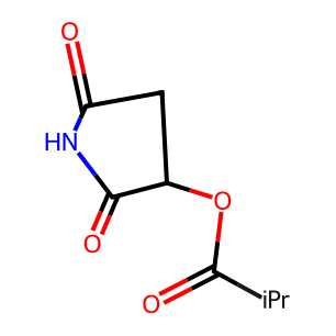 CC(C)C(=O)OC1CC(=O)NC1=O